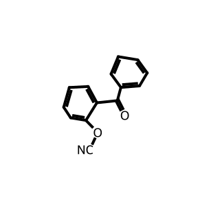 N#COc1ccccc1C(=O)c1ccccc1